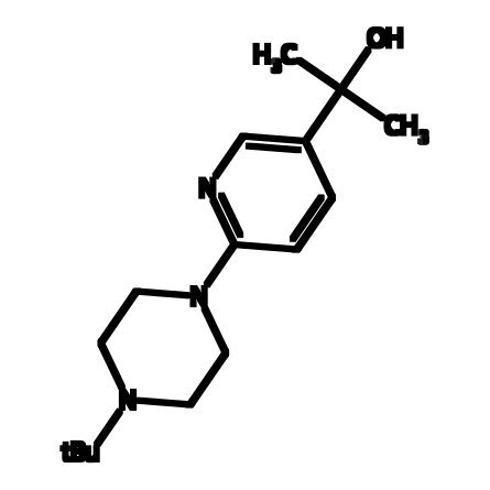 CC(C)(O)c1ccc(N2CCN(C(C)(C)C)CC2)nc1